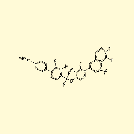 CCCc1ccc(-c2ccc(C(F)(F)Oc3ccc(-c4cc(F)c5c(F)c(F)ccc5c4)c(F)c3F)c(F)c2F)cc1